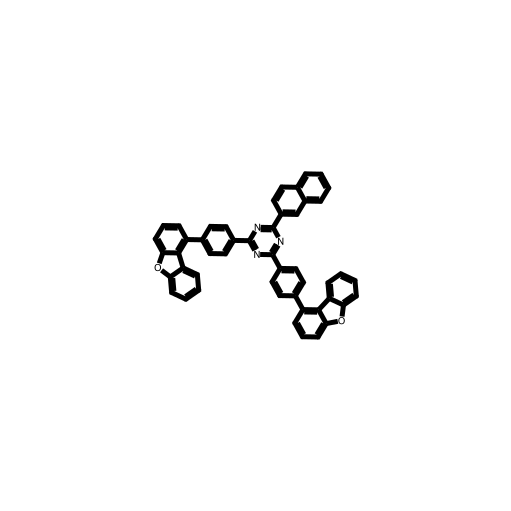 c1ccc2cc(-c3nc(-c4ccc(-c5cccc6oc7ccccc7c56)cc4)nc(-c4ccc(-c5cccc6oc7ccccc7c56)cc4)n3)ccc2c1